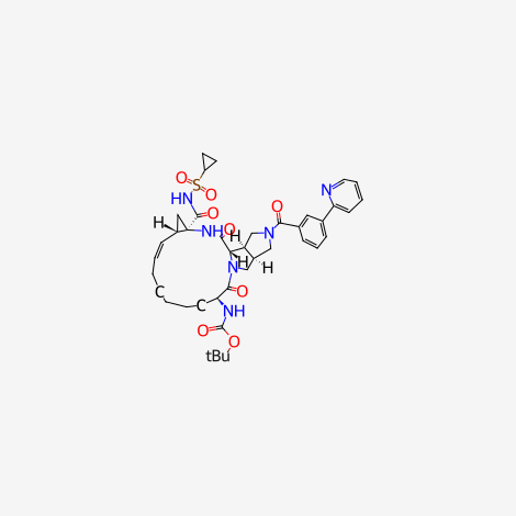 CC(C)(C)OC(=O)N[C@H]1CCCCC/C=C\[C@@H]2C[C@@]2(C(=O)NS(=O)(=O)C2CC2)NC(=O)[C@@H]2[C@H]3CN(C(=O)c4cccc(-c5ccccn5)c4)C[C@H]3CN2C1=O